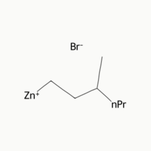 CCCC(C)C[CH2][Zn+].[Br-]